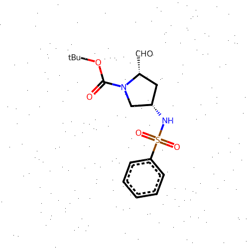 CC(C)(C)OC(=O)N1C[C@@H](NS(=O)(=O)c2ccccc2)C[C@H]1C=O